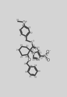 C/N=C(/SCc1ccc(OC)cc1)C1(n2cnc([N+](=O)[O-])c2)CCCCC1OCc1ccccc1